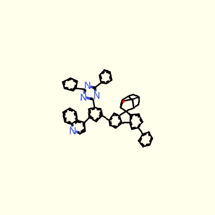 c1ccc(-c2ccc3c(c2)-c2ccc(-c4cc(-c5nc(-c6ccccc6)nc(-c6ccccc6)n5)cc(-c5ccnc6ccccc56)c4)cc2C32C3CC4CC(C3)CC2C4)cc1